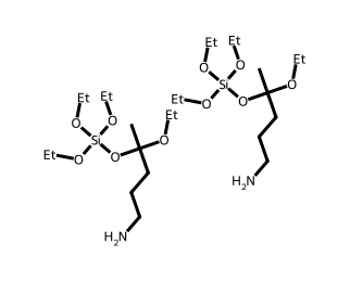 CCOC(C)(CCCN)O[Si](OCC)(OCC)OCC.CCOC(C)(CCCN)O[Si](OCC)(OCC)OCC